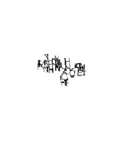 CCn1nccc1C(=O)NC(c1cn2ncc(C(C3CC3)N3CC(F)(F)CNC3=O)cc2n1)C1CCC(F)(F)CC1